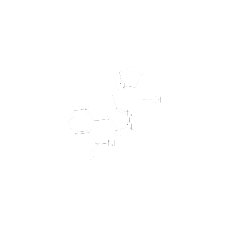 Cn1nc(CN2CCC[C@@H]2CO)c2c3ccccc3c(=O)[nH]c21